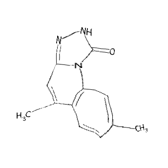 Cc1ccc2c(C)cc3n[nH]c(=O)n3c2c1